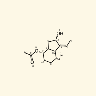 C/C=C1\[C@H](O)CC2[C@@H](OC(C)=O)CCC[C@]12C